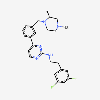 CCN1CCN(Cc2cccc(-c3ccnc(NCCc4cc(F)cc(F)c4)n3)c2)[C@@H](C)C1